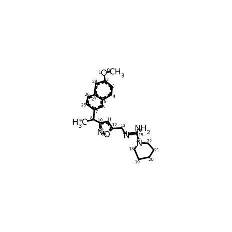 COc1ccc2cc(C(C)c3cc(C/N=C(\N)N4CCCCC4)on3)ccc2c1